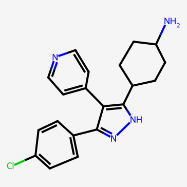 NC1CCC(c2[nH]nc(-c3ccc(Cl)cc3)c2-c2ccncc2)CC1